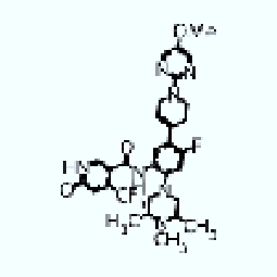 COc1cnc(N2CC=C(c3cc(NC(=O)c4c[nH]c(=O)cc4C(F)(F)F)c(N4CC(C)N(C)C(C)C4)cc3F)CC2)nc1